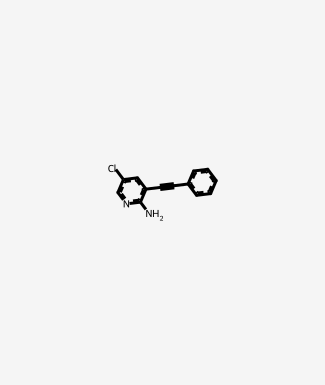 Nc1ncc(Cl)cc1C#Cc1ccccc1